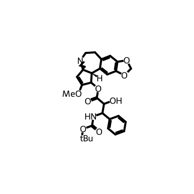 COC1=C[C@]23CCCN2CCc2cc4c(cc2[C@@H]3C1OC(=O)C(O)C(NC(=O)OC(C)(C)C)c1ccccc1)OCO4